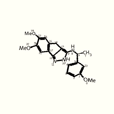 COc1cccc([C@H](C)Nc2[nH]nc3c2Cc2cc(OC)c(OC)cc2-3)c1